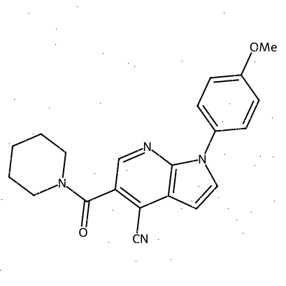 COc1ccc(-n2ccc3c(C#N)c(C(=O)N4CCCCC4)cnc32)cc1